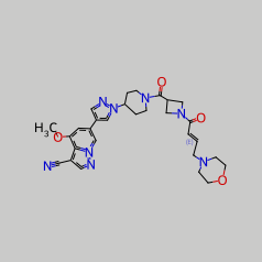 COc1cc(-c2cnn(C3CCN(C(=O)C4CN(C(=O)/C=C/CN5CCOCC5)C4)CC3)c2)cn2ncc(C#N)c12